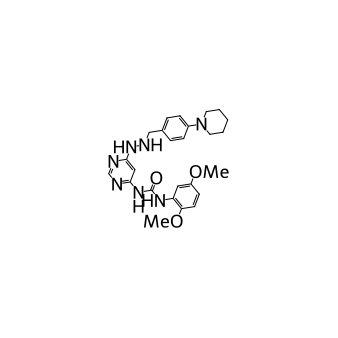 COc1ccc(OC)c(NC(=O)Nc2cc(NNCc3ccc(N4CCCCC4)cc3)ncn2)c1